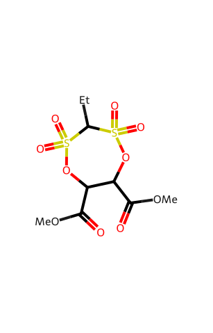 CCC1S(=O)(=O)OC(C(=O)OC)C(C(=O)OC)OS1(=O)=O